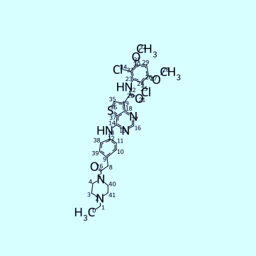 CCN1CCN(C(=O)Cc2ccc(Nc3ncnc4c(C(=O)Nc5c(Cl)c(OC)cc(OC)c5Cl)csc34)cc2)CC1